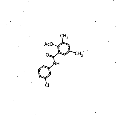 CC(=O)Oc1c(C)cc(C)cc1C(=O)Nc1cccc(Cl)c1